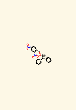 O=[N+]([O-])c1ccc(CO[SiH2]C(c2ccccc2)c2ccccc2)c([N+](=O)[O-])c1